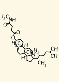 CNC(=O)CCC(=O)OC1CC[C@@]2(C)C(=CC[C@@]3(C)[C@@H]4CC[C@H]([C@@H](C)CCCC(C)C)[C@@]4(C)CC[C@@H]32)C1